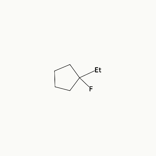 CCC1(F)CCCC1